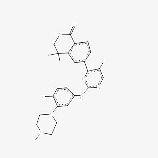 CN1CCN(c2cc(Nc3ncc(F)c(-c4ccc5c(c4)C(C)(C)CNC5=O)n3)ccc2F)CC1